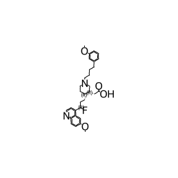 COc1cccc(CCCCN2CC[C@@H](CC[C@@H](F)c3ccnc4ccc(OC)cc34)[C@@H](CC(=O)O)C2)c1